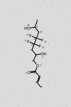 CC=CC(=O)OCC(O)CC(F)(F)C(F)(F)CC(C)O